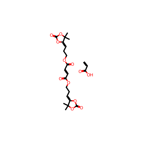 C=CC(=O)O.CC1(C)OC(=O)OC1=CCCOC(=O)/C=C/C(=O)OCCC=C1OC(=O)OC1(C)C